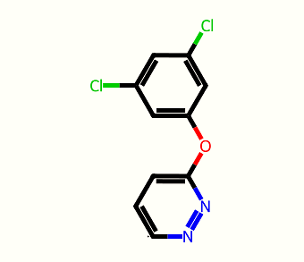 Clc1cc(Cl)cc(Oc2cc[c]nn2)c1